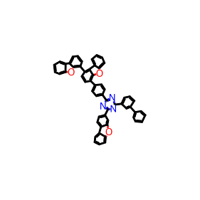 c1ccc(-c2cccc(-c3nc(-c4ccc(-c5ccc(-c6cccc7c6oc6ccccc67)c6c5oc5ccccc56)cc4)nc(-c4ccc5c(c4)oc4ccccc45)n3)c2)cc1